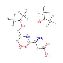 CC(C)(C)C(O)C(C)(C)C.CC(C)(C)C(OCC(CO)NC(=O)[C@@H](N)CC(=O)O)C(C)(C)C